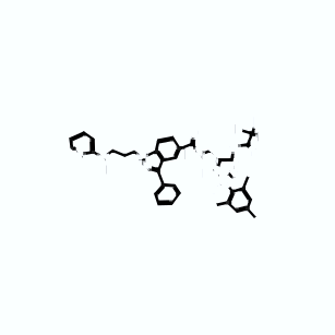 Cc1cc(C)c(S(=O)(=O)N[C@@H](CNC(=O)c2ccc3c(c2)c(-c2ccccc2)nn3CCCNc2ccccn2)C(=O)OC(=O)C(F)(F)F)c(C)c1